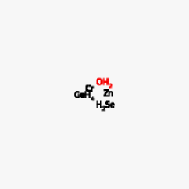 O.[Cr].[GeH4].[SeH2].[Zn]